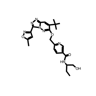 CCC(CO)NC(=O)c1ccc(COc2nn3c(-c4cc(C)on4)nnc3cc2C(C)(C)C)nc1